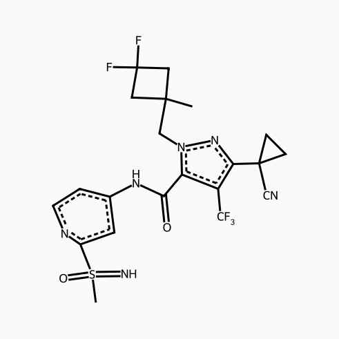 CC1(Cn2nc(C3(C#N)CC3)c(C(F)(F)F)c2C(=O)Nc2ccnc(S(C)(=N)=O)c2)CC(F)(F)C1